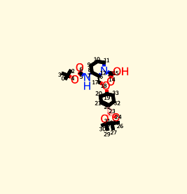 CC(C)(C)OC(=O)N[C@H]1CCCN(C(=O)O)[C@H]1COC1CC=C(B2OC(C)(C)C(C)(C)O2)CC1